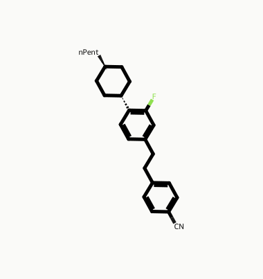 CCCCC[C@H]1CC[C@H](c2ccc(CCc3ccc(C#N)cc3)cc2F)CC1